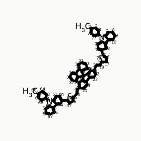 Cc1ccc(-n2c3ccccc3c3cc(C4=CCC(/C=C/c5ccc6c(c5)C5(c7ccccc7-c7ccccc75)c5cc(/C=C/c7ccc(-c8ccc9c(c8)c8ccccc8n9-c8ccc(C)cc8)s7)ccc5-6)S4)ccc32)cc1